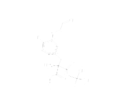 C=CCOc1cc(CC(N)(C(=O)OC)C(=O)OC(C)(C)C)ccc1F